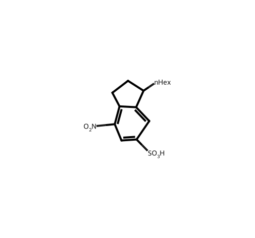 CCCCCCC1CCc2c1cc(S(=O)(=O)O)cc2[N+](=O)[O-]